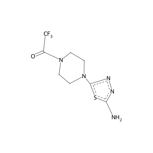 Nc1nnc(N2CCN(C(=O)C(F)(F)F)CC2)s1